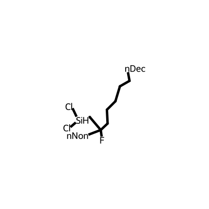 CCCCCCCCCCCCCCCC(F)(CCCCCCCCC)C[SiH](Cl)Cl